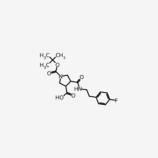 CC(C)(C)OC(=O)N1CC(C(=O)O)C(C(=O)NCCc2ccc(F)cc2)C1